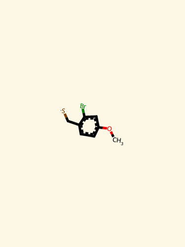 COc1ccc(C[S])c(Br)c1